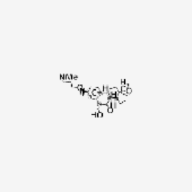 CNCCCON=C1CC[C@@]2(C)C(C1)[C@@H](CO)C(=O)[C@@H]1[C@@H]2CC[C@]2(C)C(=O)CC[C@@H]12